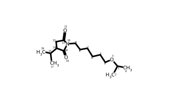 CC(C)OCCCCCCN1C(=O)CC(C(C)C)C1=O